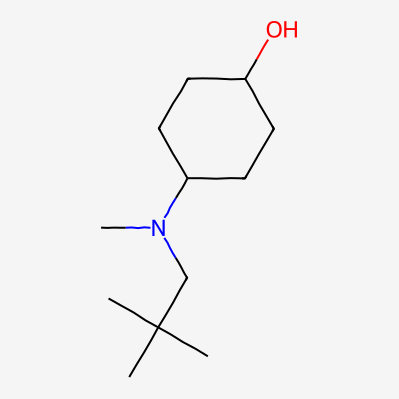 CN(CC(C)(C)C)C1CCC(O)CC1